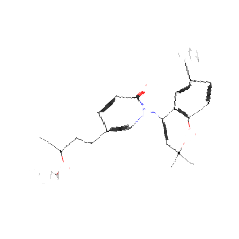 CC(CCc1ccc(=O)n(C2=CC(C)(C)Oc3ccc(C#N)cc32)c1)O[N+](=O)[O-]